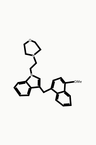 COc1ccc(Cc2cn(CCN3CCOCC3)c3ccccc23)c2ccccc12